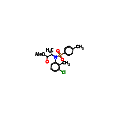 COC(=O)[C@H](C)N(c1cccc(Cl)c1C)S(=O)(=O)c1ccc(C)cc1